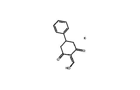 O=C1CC(c2ccccc2)CC(=O)C1=CO.[K]